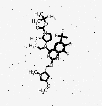 CCN(c1nc(OC[C@@H]2C[C@@H](OC)CN2C)nc2c(F)c(Br)c(C(F)(F)F)cc12)[C@@H]1CCN(C(=O)OC(C)(C)C)[C@@H]1C